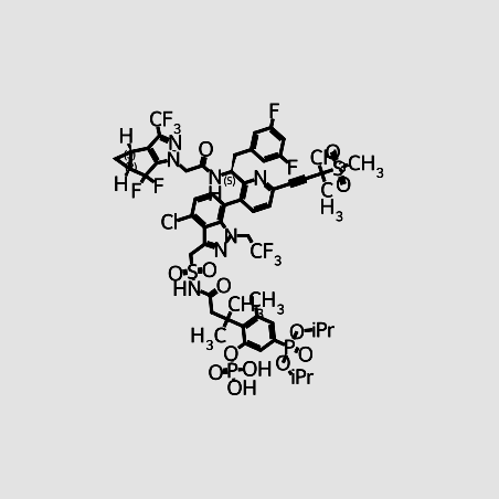 Cc1cc(P(=O)(OC(C)C)OC(C)C)cc(OP(=O)(O)O)c1C(C)(C)CC(=O)NS(=O)(=O)Cc1nn(CC(F)(F)F)c2c(-c3ccc(C#CC(C)(C)S(C)(=O)=O)nc3[C@H](Cc3cc(F)cc(F)c3)NC(=O)Cn3nc(C(F)(F)F)c4c3C(F)(F)[C@@H]3C[C@H]43)ccc(Cl)c12